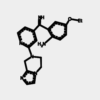 CCOc1ccc(N)c(C(=N)c2ccnc(N3CCn4ccnc4C3)c2)c1